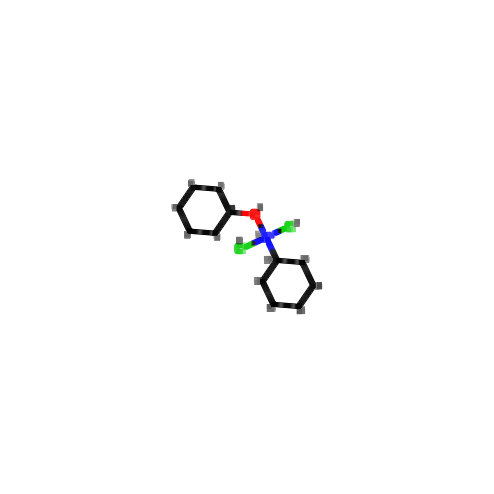 Cl[N+](Cl)(OC1CCCCC1)C1CCCCC1